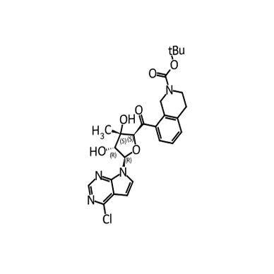 CC(C)(C)OC(=O)N1CCc2cccc(C(=O)[C@H]3O[C@@H](n4ccc5c(Cl)ncnc54)[C@H](O)[C@]3(C)O)c2C1